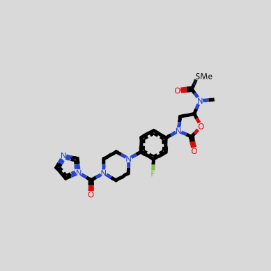 CSC(=O)N(C)C1CN(c2ccc(N3CCN(C(=O)n4ccnc4)CC3)c(F)c2)C(=O)O1